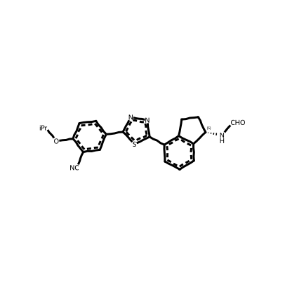 CC(C)Oc1ccc(-c2nnc(-c3cccc4c3CC[C@@H]4NC=O)s2)cc1C#N